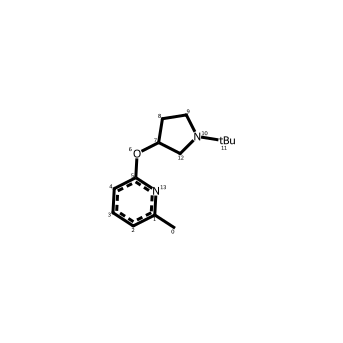 Cc1cccc(OC2CCN(C(C)(C)C)C2)n1